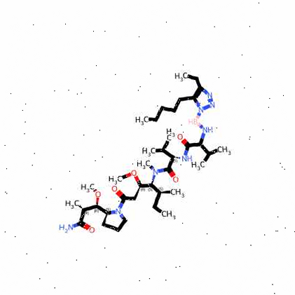 CCCCCc1c(CC)nnn1BNC(C(=O)N[C@H](C(=O)N(C)[C@@H]([C@@H](C)CC)[C@@H](CC(=O)N1CCC[C@H]1[C@H](OC)[C@@H](C)C(N)=O)OC)C(C)C)C(C)C